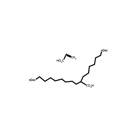 C=CC(=O)O.CCCCCCCCCCCCCCCCCCC(CCCCCCCCCCCCCCCC)C(=O)O